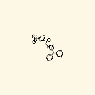 O=C(Cn1[c]cc(C(c2ccccc2)c2ccccc2)n1)c1cc([N+](=O)[O-])cs1